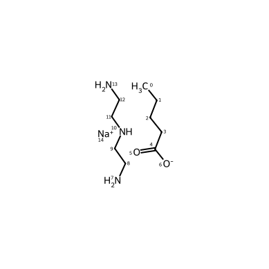 CCCCC(=O)[O-].NCCNCCN.[Na+]